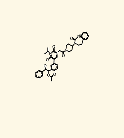 CC(=O)OC(C(=O)c1ccccc1)c1cccc(-c2cn(CC(=O)N3CCC(N4CCc5ccccc5NC4=O)CC3)c(=O)n(C(C)C)c2=O)c1